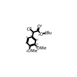 COc1ccc(C(Cl)C(=O)OC(C)(C)C)cc1OC